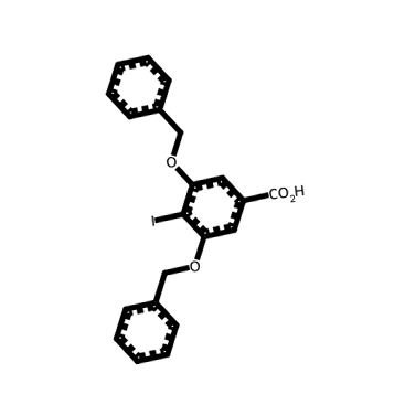 O=C(O)c1cc(OCc2ccccc2)c(I)c(OCc2ccccc2)c1